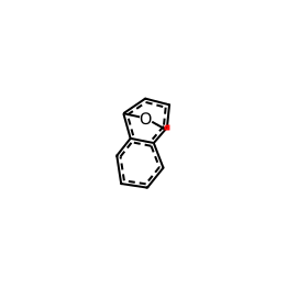 c1ccc2c3ccc(c2c1)CO3